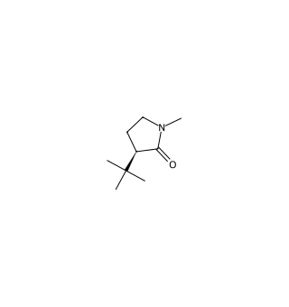 CN1CC[C@H](C(C)(C)C)C1=O